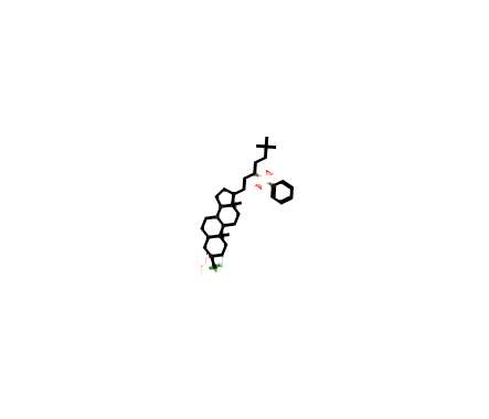 CC(C)(C)CCC(CCC1CCC2C3CCC4C[C@](O)(C(F)(F)F)CCC4(C)C3CCC12C)S(=O)(=O)c1ccccc1